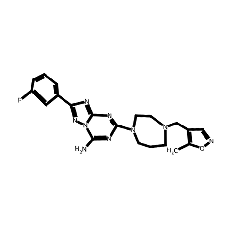 Cc1oncc1CN1CCCN(c2nc(N)n3nc(-c4cccc(F)c4)nc3n2)CC1